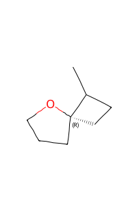 CC1CC[C@@]12CCCO2